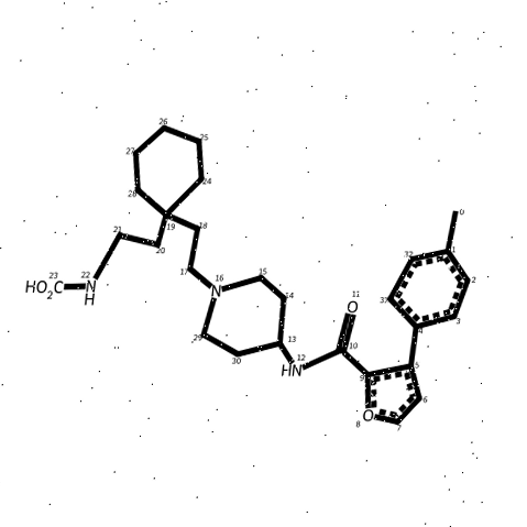 Cc1ccc(-c2ccoc2C(=O)NC2CCN(CCC3(CCNC(=O)O)CCCCC3)CC2)cc1